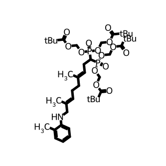 C/C(=C\CC(P(=O)(OCOC(=O)C(C)(C)C)OCOC(=O)C(C)(C)C)P(=O)(OCOC(=O)C(C)(C)C)OCOC(=O)C(C)(C)C)CC/C=C(\C)CNc1ccccc1C